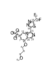 COCCCOc1cc(S(=O)(=O)Cl)cn2c(-c3nnc(C(F)F)s3)ncc12